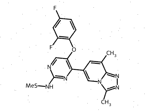 CSNc1ncc(Oc2ccc(F)cc2F)c(-c2cc(C)c3nnc(C)n3c2)n1